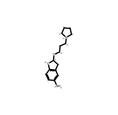 Nc1ccc2c(c1)CC(OCCCN1CCCC1)O2